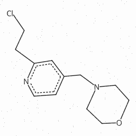 ClCCc1cc(CN2CCOCC2)ccn1